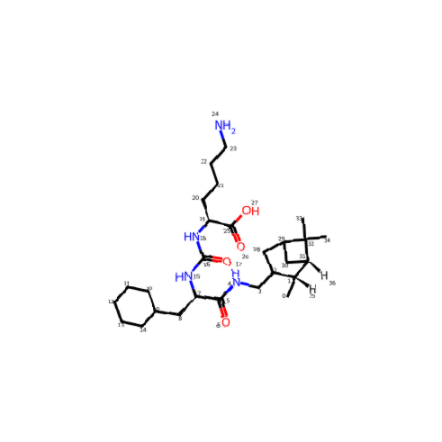 C[C@@H]1C(CNC(=O)[C@@H](CC2CCCCC2)NC(=O)N[C@@H](CCCCN)C(=O)O)CC2C[C@@H]1C2(C)C